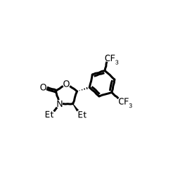 CC[C@@H]1[C@@H](c2cc(C(F)(F)F)cc(C(F)(F)F)c2)OC(=O)N1CC